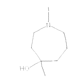 CC1(O)CCCN(I)CC1